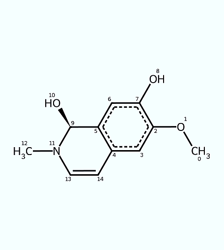 COc1cc2c(cc1O)[C@H](O)N(C)C=C2